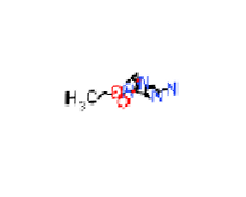 CCCCOC(=O)N1CCC2CC2(c2ccc3cnc(C#N)cc3n2)C1